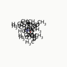 Cc1ccc(C)c(OCCCC(C)(C)C(=O)Nc2cc3c(cc2C2=C(O)/C(=c4\cc5c(cc4NC(=O)C(C)(C)CCCOc4cc(C)ccc4C)=[N+](C)C(C)C5(C)C)C2=O)C(C)(C)C(C)N3C)c1